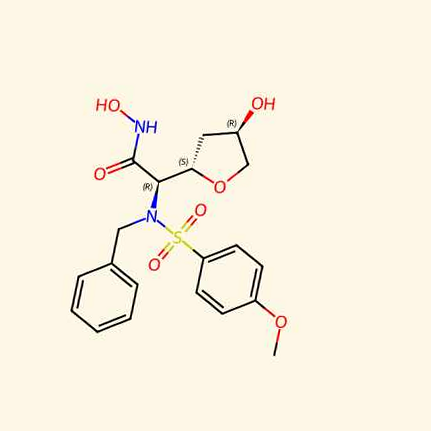 COc1ccc(S(=O)(=O)N(Cc2ccccc2)[C@@H](C(=O)NO)[C@@H]2C[C@@H](O)CO2)cc1